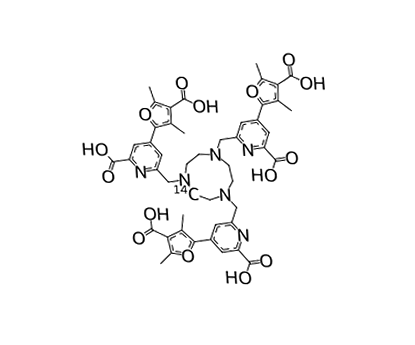 Cc1oc(-c2cc(CN3CCN(Cc4cc(-c5oc(C)c(C(=O)O)c5C)cc(C(=O)O)n4)C[14CH2]N(Cc4cc(-c5oc(C)c(C(=O)O)c5C)cc(C(=O)O)n4)CC3)nc(C(=O)O)c2)c(C)c1C(=O)O